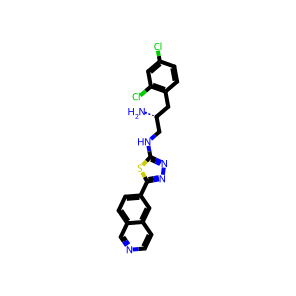 N[C@@H](CNc1nnc(-c2ccc3cnccc3c2)s1)Cc1ccc(Cl)cc1Cl